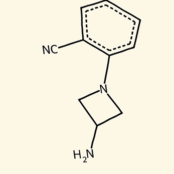 N#Cc1ccccc1N1CC(N)C1